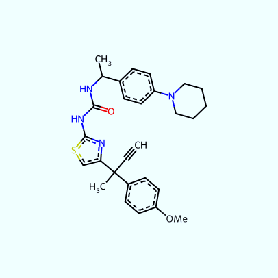 C#CC(C)(c1ccc(OC)cc1)c1csc(NC(=O)NC(C)c2ccc(N3CCCCC3)cc2)n1